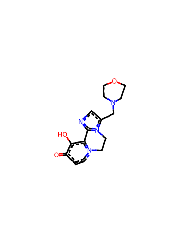 O=c1ccn2c(c1O)-c1ncc(CN3CCOCC3)n1CC2